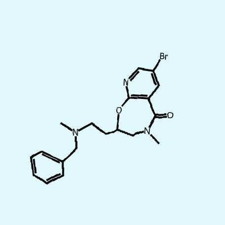 CN(CCC1CN(C)C(=O)c2cc(Br)cnc2O1)Cc1ccccc1